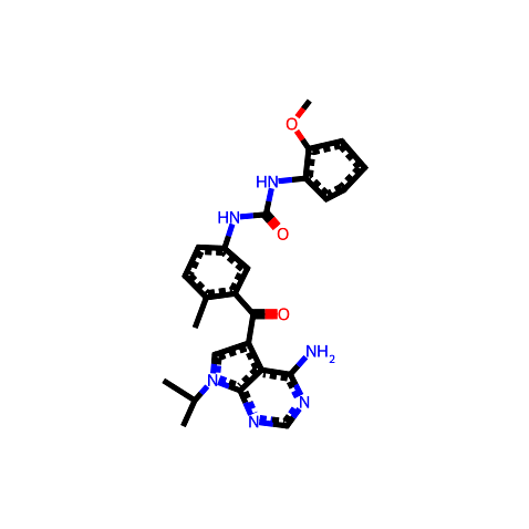 COc1ccccc1NC(=O)Nc1ccc(C)c(C(=O)c2cn(C(C)C)c3ncnc(N)c23)c1